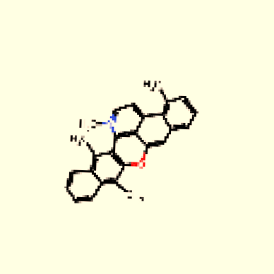 Cc1c2c(c(C)c3ccccc13)-c1c3c(cc4cccc(C)c4c3cc[n+]1C)O2